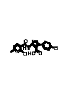 Cc1ccc(C(=O)Nc2scc(-c3ccc(Cl)cc3)c2C(=O)O)c(Cl)n1